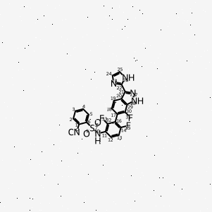 N#Cc1ccccc1S(=O)(=O)Nc1ccc(F)c(-c2ccc3c(-c4ncc[nH]4)n[nH]c3c2F)c1F